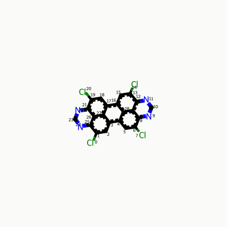 Clc1cc2c3cc(Cl)c4ncnc5c(Cl)cc(c6cc(Cl)c7ncnc1c7c26)c3c45